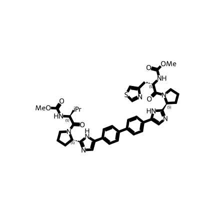 COC(=O)N[C@@H](Cc1cscn1)C(=O)N1CCC[C@H]1c1ncc(-c2ccc(-c3ccc(-c4cnc([C@@H]5CCCN5C(=O)[C@@H](NC(=O)OC)C(C)C)[nH]4)cc3)cc2)[nH]1